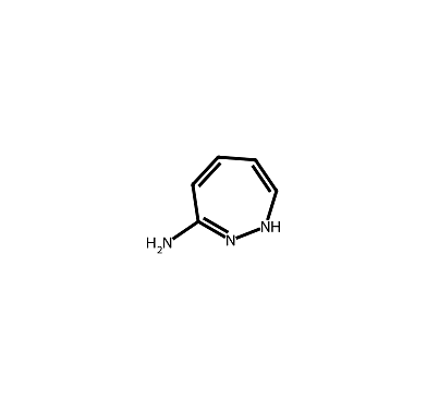 NC1=NNC=CC=C1